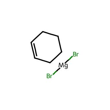 C1=CCCCC1.[Br][Mg][Br]